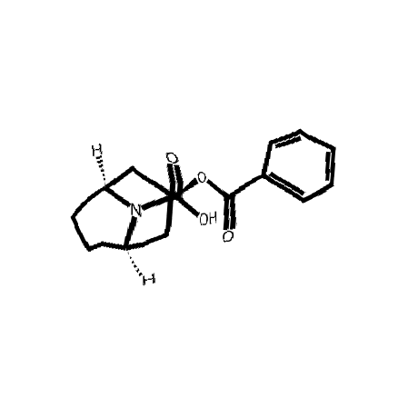 O=C(O[C@H]1C[C@H]2CC[C@@H](C1)N2C(=O)O)c1ccccc1